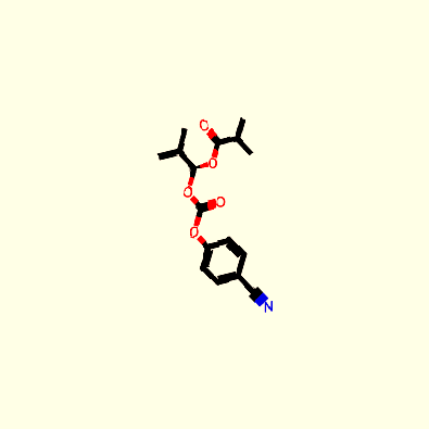 CC(C)C(=O)O[C@@H](OC(=O)Oc1ccc(C#N)cc1)C(C)C